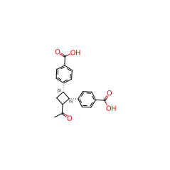 CC(=O)C1C[C@H](c2ccc(C(=O)O)cc2)[C@@H]1c1ccc(C(=O)O)cc1